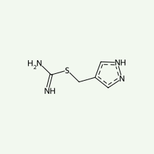 N=C(N)SCc1cn[nH]c1